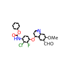 COc1cc2nccc(Oc3ccc(NC(=O)Oc4ccccc4)c(Cl)c3F)c2cc1C=O